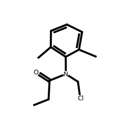 CCC(=O)N(CCl)c1c(C)cccc1C